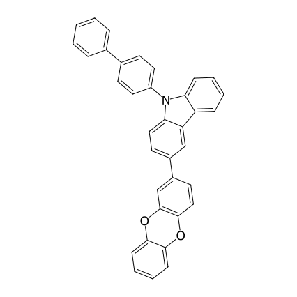 c1ccc(-c2ccc(-n3c4ccccc4c4cc(-c5ccc6c(c5)Oc5ccccc5O6)ccc43)cc2)cc1